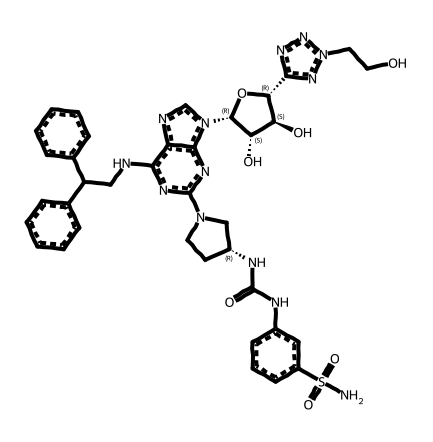 NS(=O)(=O)c1cccc(NC(=O)N[C@@H]2CCN(c3nc(NCC(c4ccccc4)c4ccccc4)c4ncn([C@@H]5O[C@H](c6nnn(CCO)n6)[C@@H](O)[C@@H]5O)c4n3)C2)c1